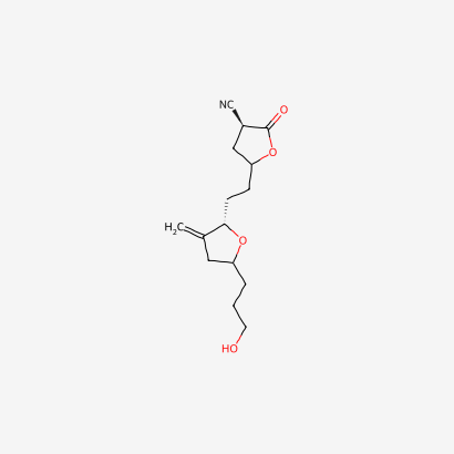 C=C1CC(CCCO)O[C@H]1CCC1C[C@@H](C#N)C(=O)O1